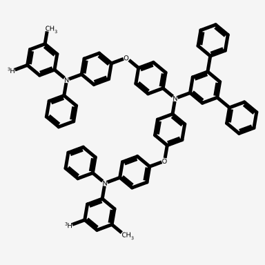 [3H]c1cc(C)cc(N(c2ccccc2)c2ccc(Oc3ccc(N(c4ccc(Oc5ccc(N(c6ccccc6)c6cc([3H])cc(C)c6)cc5)cc4)c4cc(-c5ccccc5)cc(-c5ccccc5)c4)cc3)cc2)c1